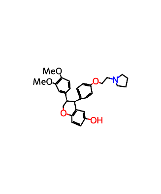 COc1ccc([C@@H]2COc3ccc(O)cc3[C@@H]2c2ccc(OCCN3CCCC3)cc2)cc1OC